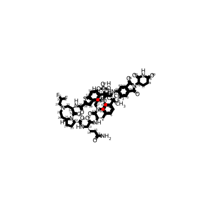 CC(C)(C)c1ccc(C[C@H](NC(=O)[C@H](CCC(N)=O)NC(=O)[C@@H]2CC[C@@H]3CCN(CC(F)F)C[C@H](NC(=O)c4cc5cc(C(F)(F)P(=O)(O)O)ccc5s4)C(=O)N32)C(=O)N2CCN(CCNc3cc4c(cc3F)C(=O)N(C3CCC(=O)NC3=O)C4=O)CC2)cc1